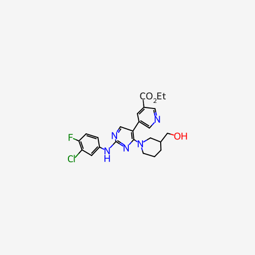 CCOC(=O)c1cncc(-c2cnc(Nc3ccc(F)c(Cl)c3)nc2N2CCCC(CO)C2)c1